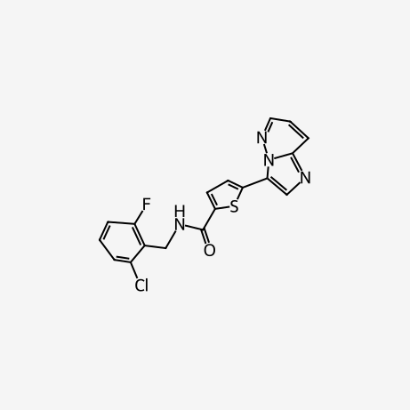 O=C(NCc1c(F)cccc1Cl)c1ccc(-c2cnc3cccnn23)s1